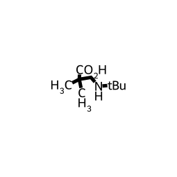 CC(C)(C)NCC(C)(C)C(=O)O